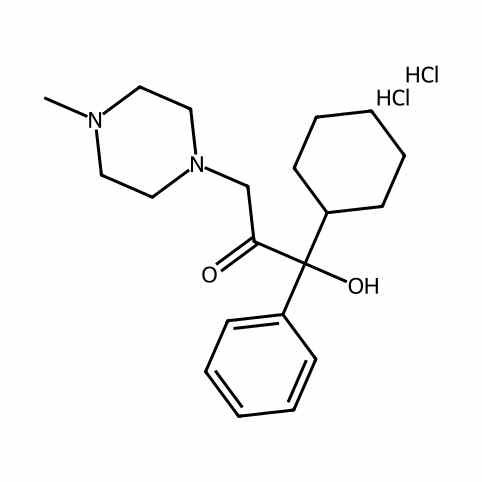 CN1CCN(CC(=O)C(O)(c2ccccc2)C2CCCCC2)CC1.Cl.Cl